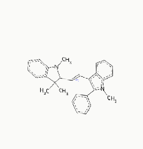 CN1c2ccccc2C(C)(C)C1/C=C/c1c(-c2ccccc2)n(C)c2ccccc12